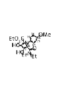 CCOC(=O)c1c(O)c(O)c(C(=O)N(CC)CC)n1-c1ccc(OC)cc1